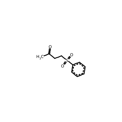 CC(=O)CCS(=O)(=O)c1ccccc1